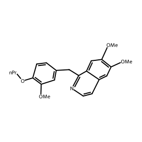 CCCOc1ccc(Cc2nccc3cc(OC)c(OC)cc23)cc1OC